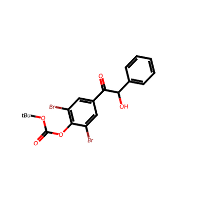 CC(C)(C)OC(=O)Oc1c(Br)cc(C(=O)C(O)c2ccccc2)cc1Br